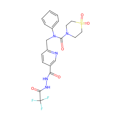 O=C(NNC(=O)C(F)(F)F)c1ccc(CN(C(=O)N2CCS(=O)(=O)CC2)c2ccccc2)nc1